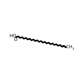 CCC=CCCCCCCCCCCCCCCCCCCCCCCCC(=O)O